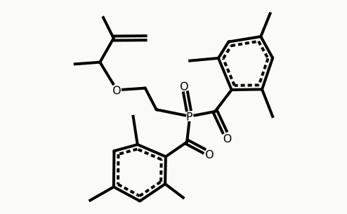 C=C(C)C(C)OCCP(=O)(C(=O)c1c(C)cc(C)cc1C)C(=O)c1c(C)cc(C)cc1C